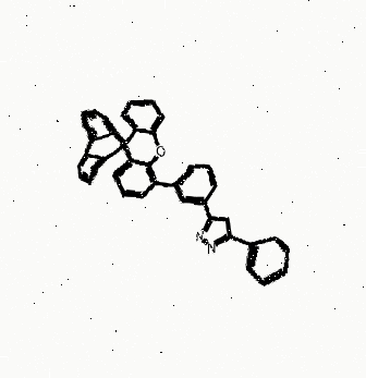 c1ccc(C2=NN=C(c3cccc(-c4cccc5c4Oc4ccccc4C54c5ccccc5-c5ccccc54)c3)C2)cc1